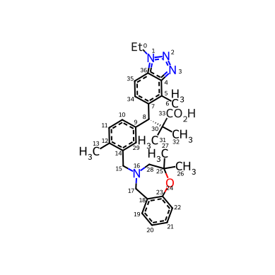 CCn1nnc2c(C)c([C@@H](c3ccc(C)c(CN4Cc5ccccc5OC(C)(C)C4)c3)C(C)(C)C(=O)O)ccc21